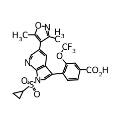 Cc1noc(C)c1-c1cnc2c(c1)c(-c1ccc(C(=O)O)cc1OC(F)(F)F)cn2S(=O)(=O)C1CC1